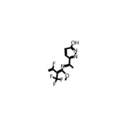 C=C(F)/C(=C(\N=C(/C)c1ccc(O)nn1)OC)C(F)(F)F